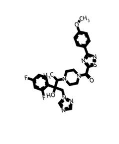 COc1ccc(-c2nsc(C(=O)N3CCN(C(C)C(O)(Cn4cncn4)c4ccc(F)cc4F)CC3)n2)cc1